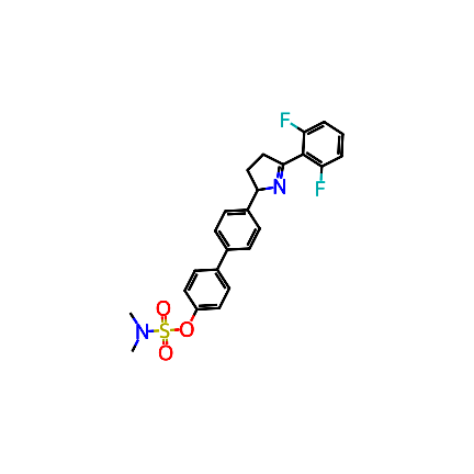 CN(C)S(=O)(=O)Oc1ccc(-c2ccc(C3CCC(c4c(F)cccc4F)=N3)cc2)cc1